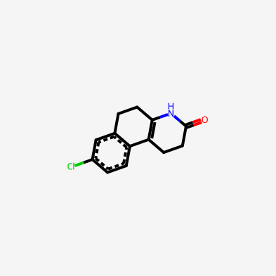 O=C1CCC2=C(CCc3cc(Cl)ccc32)N1